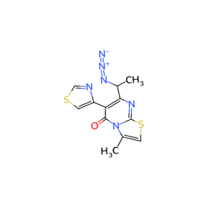 Cc1csc2nc(C(C)N=[N+]=[N-])c(-c3cscn3)c(=O)n12